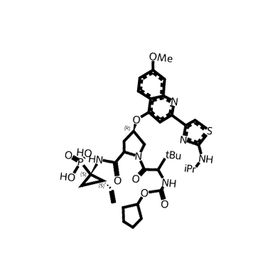 C=C[C@@H]1C[C@]1(NC(=O)C1C[C@@H](Oc2cc(-c3csc(NC(C)C)n3)nc3cc(OC)ccc23)CN1C(=O)C(NC(=O)OC1CCCC1)C(C)(C)C)P(=O)(O)O